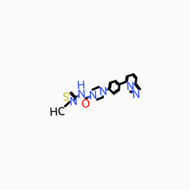 C#Cc1nc(NC(=O)N2CCN(c3ccc(-c4cccc5cncn45)cc3)CC2)cs1